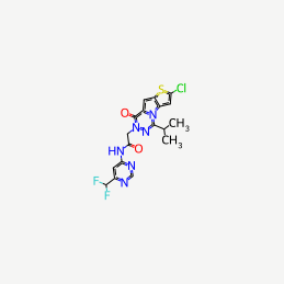 CC(C)c1nn(CC(=O)Nc2cc(C(F)F)ncn2)c(=O)c2cc3sc(Cl)cc3n12